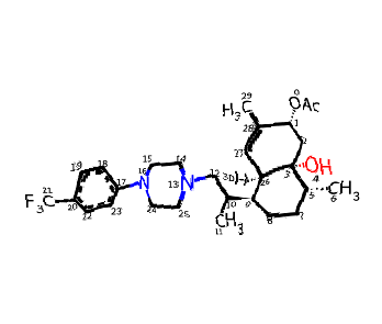 CC(=O)O[C@@H]1[CH][C@@]2(O)[C@H](C)CC[C@@H](C(C)CN3CCN(c4ccc(C(F)(F)F)cc4)CC3)[C@H]2C=C1C